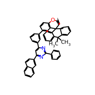 CC1(C)c2ccccc2C2(c3ccccc3Oc3ccc(-c4cccc(-c5cc(-c6ccc7ccccc7c6)nc(-c6ccccc6)n5)c4)cc32)c2ccccc21